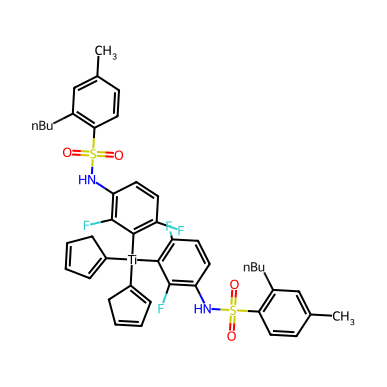 CCCCc1cc(C)ccc1S(=O)(=O)Nc1ccc(F)[c]([Ti]([C]2=CC=CC2)([C]2=CC=CC2)[c]2c(F)ccc(NS(=O)(=O)c3ccc(C)cc3CCCC)c2F)c1F